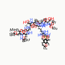 CCC[C@H](NC(=O)[C@@H](NC(=O)OC(C)(C)C)[C@H](O)C(C)C)C(=O)N[C@H](CCCNC(=N)NS(=O)(=O)c1c(C)c(C)c2c(c1C)CCC(C)(C)O2)C(=O)N[C@H](C(=O)N[C@H](C(=O)NCC(=O)N[C@@H](COC(C)(C)C)C(=O)N[C@@H](COC(C)(C)C)C(=O)OC)[C@H](C)O)[C@@H](C)CC